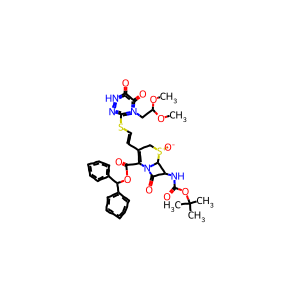 COC(Cn1c(S/C=C/C2=C(C(=O)OC(c3ccccc3)c3ccccc3)N3C(=O)C(NC(=O)OC(C)(C)C)C3[S+]([O-])C2)n[nH]c(=O)c1=O)OC